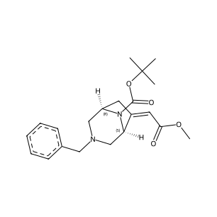 COC(=O)C=C1C[C@@H]2CN(Cc3ccccc3)C[C@H]1N2C(=O)OC(C)(C)C